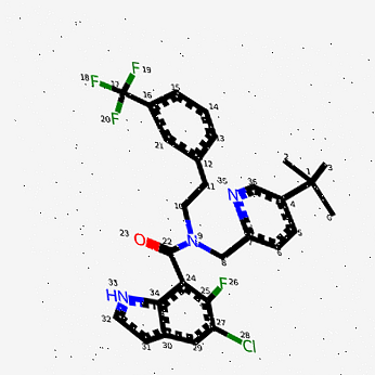 CC(C)(C)c1ccc(CN(CCc2cccc(C(F)(F)F)c2)C(=O)c2c(F)c(Cl)cc3cc[nH]c23)nc1